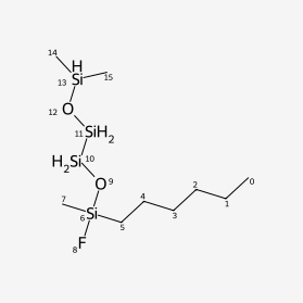 CCCCCC[Si](C)(F)O[SiH2][SiH2]O[SiH](C)C